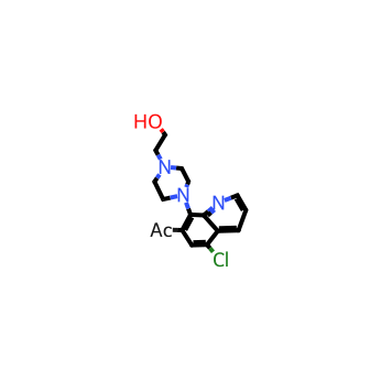 CC(=O)c1cc(Cl)c2cccnc2c1N1CCN(CCO)CC1